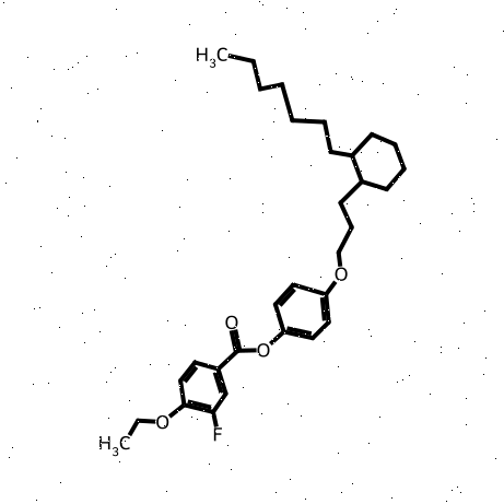 CCCCCCCC1CCCCC1CCCOc1ccc(OC(=O)c2ccc(OCC)c(F)c2)cc1